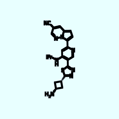 CC(C)Nc1cc(-c2ccc3cc(C#N)cnn23)ncc1-c1nnc([C@H]2C[C@H](N)C2)s1